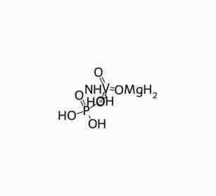 N.O=P(O)(O)O.[MgH2].[O]=[V](=[O])[OH]